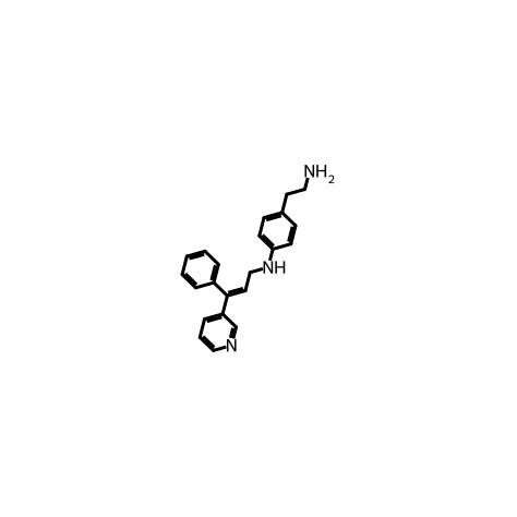 NCCc1ccc(NC/C=C(\c2ccccc2)c2cccnc2)cc1